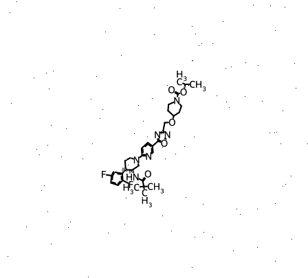 CC(C)OC(=O)N1CCC(OCc2noc(-c3ccc(N4CC[C@H](c5cc(F)ccc5F)[C@@H](NC(=O)C(C)(C)C)C4)nc3)n2)CC1